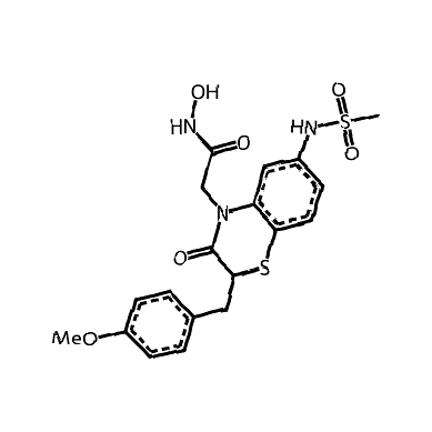 COc1ccc(CC2Sc3ccc(NS(C)(=O)=O)cc3N(CC(=O)NO)C2=O)cc1